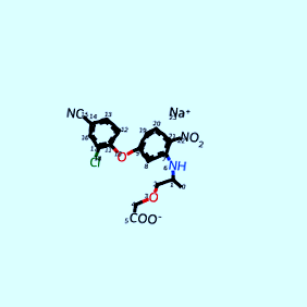 CC(COCC(=O)[O-])Nc1cc(Oc2ccc(C#N)cc2Cl)ccc1[N+](=O)[O-].[Na+]